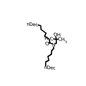 CCCCCCCCCCCCCCCCN(CC(C)(C)O)C(=O)CCCCCCCCCCCCCCC